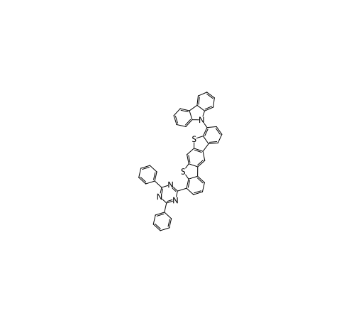 c1ccc(-c2nc(-c3ccccc3)nc(-c3cccc4c3sc3cc5sc6c(-n7c8ccccc8c8ccccc87)cccc6c5cc34)n2)cc1